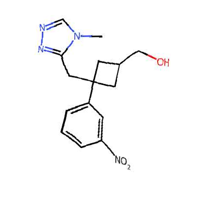 Cn1cnnc1CC1(c2cccc([N+](=O)[O-])c2)CC(CO)C1